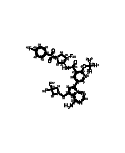 [2H]C([2H])([2H])Oc1ncc(-c2cc(CN3CC(F)(F)C3)c3c(N)ncnn23)cc1C(=O)N[C@@H]1CN(S(=O)(=O)c2ccc(F)cc2)C[C@@H]1F